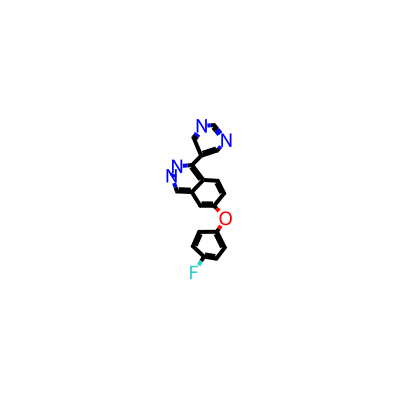 Fc1ccc(Oc2ccc3c(-c4cncnc4)nncc3c2)cc1